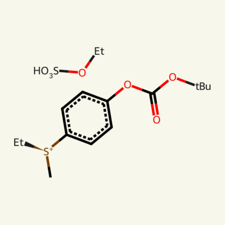 CCOS(=O)(=O)O.CC[S@+](C)c1ccc(OC(=O)OC(C)(C)C)cc1